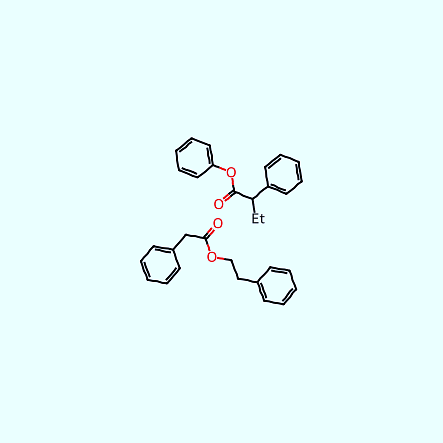 CCC(C(=O)Oc1ccccc1)c1ccccc1.O=C(Cc1ccccc1)OCCc1ccccc1